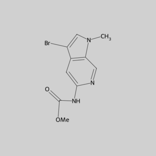 COC(=O)Nc1cc2c(Br)cn(C)c2cn1